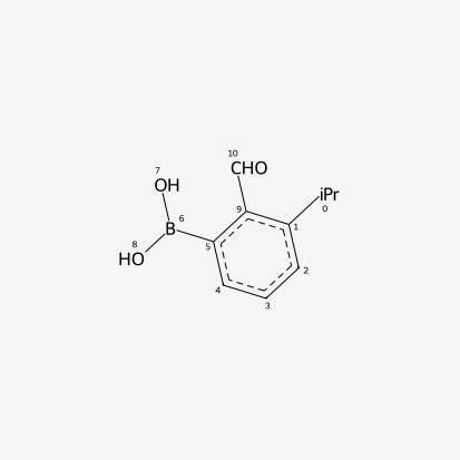 CC(C)c1cccc(B(O)O)c1C=O